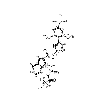 COc1cc(C(F)(F)F)cc(OC)c1-c1csc(NC(=O)c2cc3ccccc3n2CC(=O)OC(=O)C(F)(F)F)n1